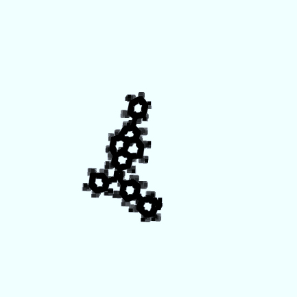 c1ccc(-c2cc3ccc4cc(N(c5ccccc5)c5ccc(-c6cccnc6)cc5)cc5ccc(c2)c3c45)cc1